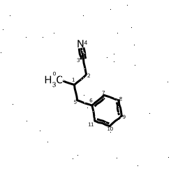 CC(CC#N)Cc1ccccc1